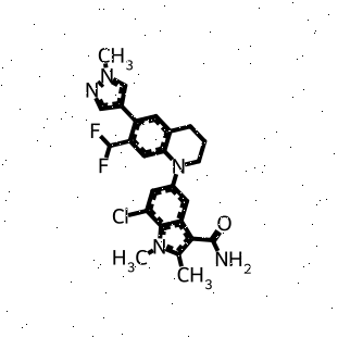 Cc1c(C(N)=O)c2cc(N3CCCc4cc(-c5cnn(C)c5)c(C(F)F)cc43)cc(Cl)c2n1C